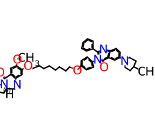 COc1cc2c(cc1OCCCCCCCCOc1ccc(-n3c(-c4ccccc4)nc4ccc(N5CCC(C)CC5)cc4c3=O)cc1)N=C[C@@H]1CCCN1C2=O